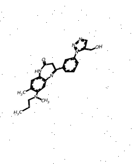 CCCN(C)c1cc2c(cc1C)NC(=O)CC(c1cccc(-n3nncc3CO)c1)=N2